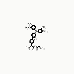 C=CC(=O)OC(C)C(C)c1ccc2c(c1)oc1cc(N(c3ccc(C)c(C)c3)c3ccc(C)c(C)c3)ccc12